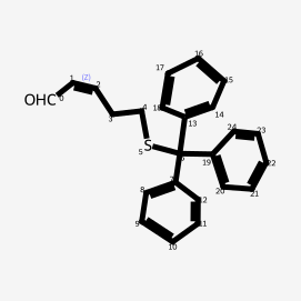 O=C/C=C\CCSC(c1ccccc1)(c1ccccc1)c1ccccc1